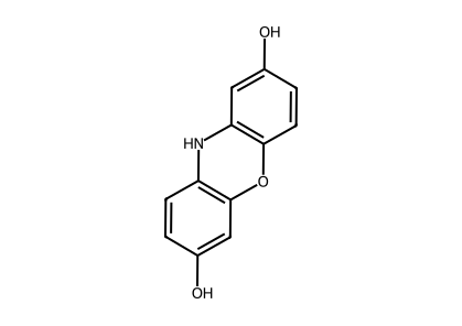 Oc1ccc2c(c1)Nc1ccc(O)cc1O2